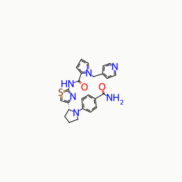 NC(=O)c1ccc(N2CCC[C@@H]2c2csc(NC(=O)c3cccn3Cc3ccncc3)n2)cc1